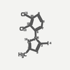 Cc1cc(I)n(-c2cccc(Cl)c2Cl)n1